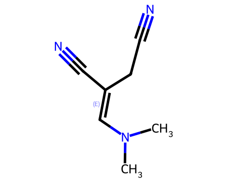 CN(C)/C=C(/C#N)CC#N